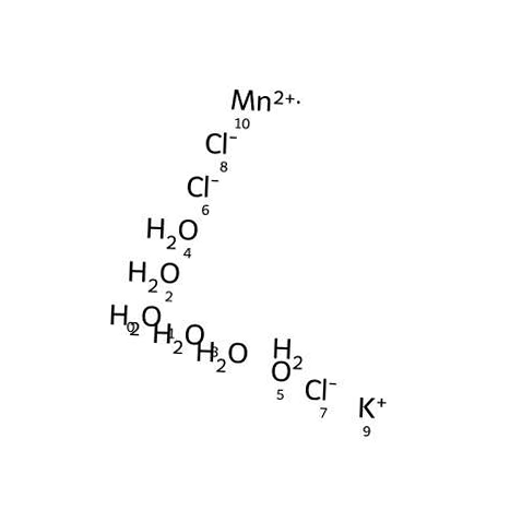 O.O.O.O.O.O.[Cl-].[Cl-].[Cl-].[K+].[Mn+2]